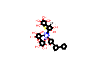 Bc1c(O)c(O)c(C(=N/Cc2ccc(-c3cccc(-c4ccccc4)c3)cc2)/N=C(\N=C)c2c(O)c(O)c(O)c3oc4c(O)c(O)c(O)c(O)c4c23)c2sc3c(O)c(O)c(O)c(O)c3c12